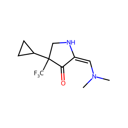 CN(C)/C=C1/NCC(C2CC2)(C(F)(F)F)C1=O